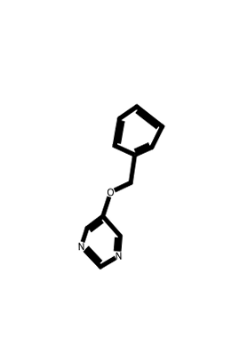 c1ccc(COc2cncnc2)cc1